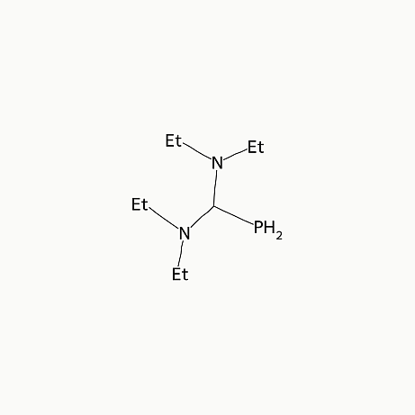 CCN(CC)C(P)N(CC)CC